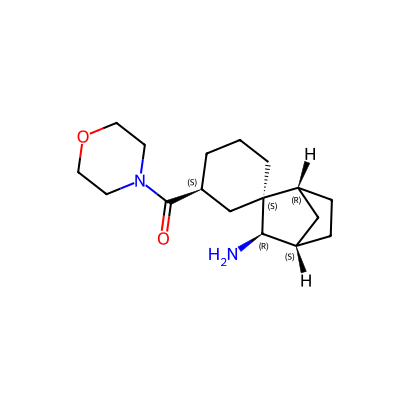 N[C@@H]1[C@H]2CC[C@H](C2)[C@@]12CCC[C@H](C(=O)N1CCOCC1)C2